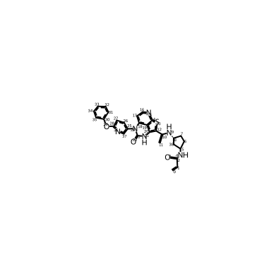 C=CC(=O)NC1CC[C@@H](NC(=C)c2sc3nccc4c3c2NC(=O)N4c2ccc(Oc3ccccc3)nc2)C1